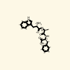 C[C@H](NC(=O)[C@@H](N)Cc1c[nH]c2ccccc12)C(=O)N[C@@H](Cc1ccccc1)C(=O)O